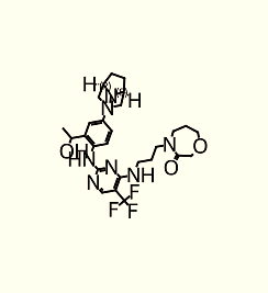 CC(O)c1cc(N2C[C@H]3CC[C@@H](C2)N3C)ccc1Nc1ncc(C(F)(F)F)c(NCCCN2CCCOCC2=O)n1